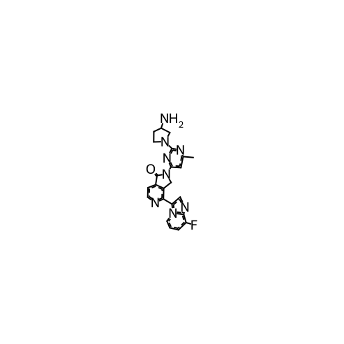 Cc1cc(N2Cc3c(ccnc3-c3cnc4c(F)cccn34)C2=O)nc(N2CCC(N)C2)n1